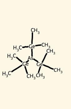 [CH3][Ge]([CH3])([CH3])[As]([Ge]([CH3])([CH3])[CH3])[Ge]([CH3])([CH3])[CH3]